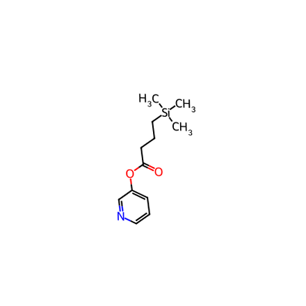 C[Si](C)(C)CCCC(=O)Oc1cccnc1